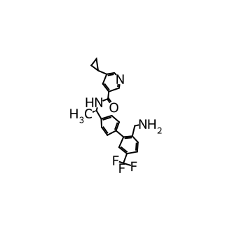 C[C@@H](NC(=O)c1cncc(C2CC2)c1)c1ccc(-c2cc(C(F)(F)F)ccc2CN)cc1